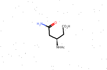 CC(=O)N[C@@H](CC(N)=O)CC(=O)O